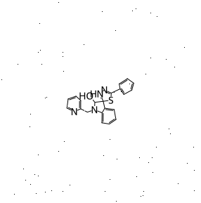 OC1N(Cc2ccccn2)c2ccccc2C12NN=C(c1ccccc1)S2